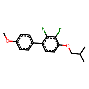 COc1ccc(-c2ccc(OCC(C)C)c(F)c2F)cc1